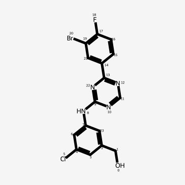 OCc1cc(Cl)cc(Nc2ncnc(-c3ccc(F)c(Br)c3)n2)c1